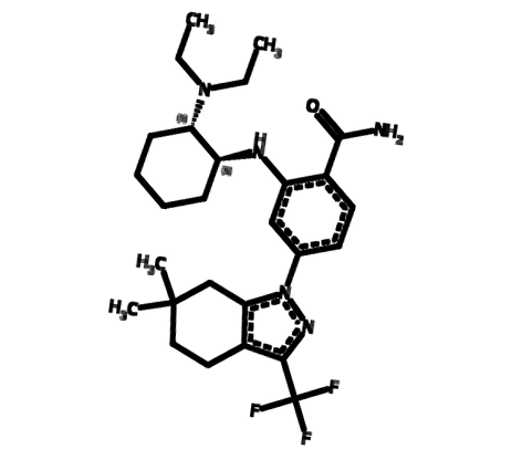 CCN(CC)[C@H]1CCCC[C@@H]1Nc1cc(-n2nc(C(F)(F)F)c3c2CC(C)(C)CC3)ccc1C(N)=O